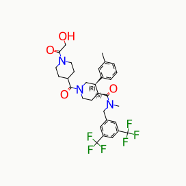 Cc1cccc([C@@H]2CN(C(=O)C3CCN(C(=O)CO)CC3)CC[C@@H]2C(=O)N(C)Cc2cc(C(F)(F)F)cc(C(F)(F)F)c2)c1